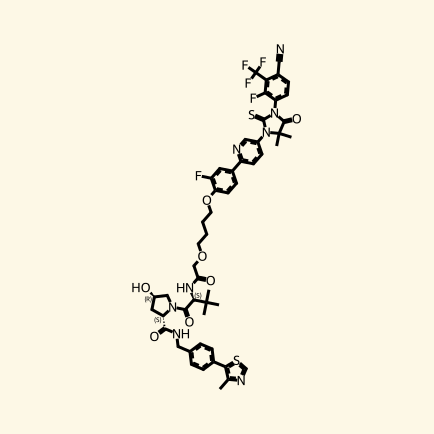 Cc1ncsc1-c1ccc(CNC(=O)[C@@H]2C[C@@H](O)CN2C(=O)[C@@H](NC(=O)COCCCCOc2ccc(-c3ccc(N4C(=S)N(c5ccc(C#N)c(C(F)(F)F)c5F)C(=O)C4(C)C)cn3)cc2F)C(C)(C)C)cc1